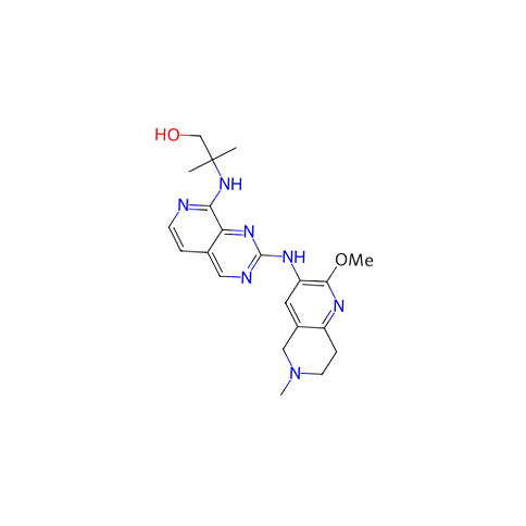 COc1nc2c(cc1Nc1ncc3ccnc(NC(C)(C)CO)c3n1)CN(C)CC2